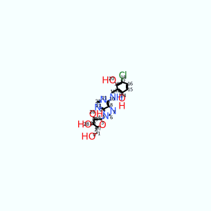 OC[C@H]1OC(n2cnc3c(NCc4c(O)ccc(Cl)c4O)ncnc32)[C@H](O)[C@@H]1O